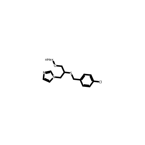 CCCCCCOCC(Cn1ccnc1)SCc1ccc(Cl)cc1